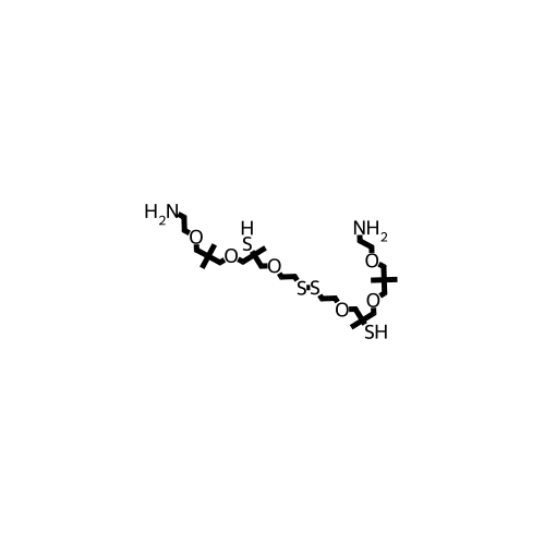 CC(C)(COCCN)COCC(C)(S)COCCSSCCOCC(C)(S)COCC(C)(C)COCCN